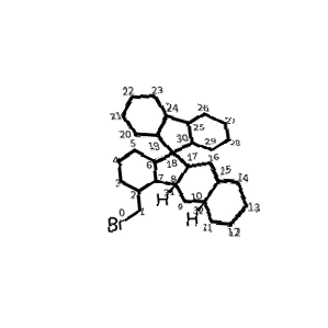 BrCC1CCCC2C1[C@H]1C[C@H]3CCCCC3CC1C21C2CCCCC2C2CCCCC21